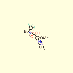 CCC(c1cc(F)c(F)c(F)c1)N1CCOC(C(O)c2ccc(-n3cnc(C)c3)c(OC)c2)C1=O